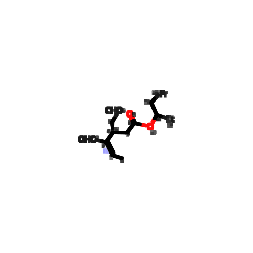 C/C=C(/C=O)[C@@H](CC=O)CC(=O)OC(CC)CC(C)C